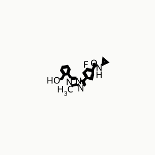 Cc1nc(-c2ccccc2CO)cn2c(-c3ccc(C(=O)NC4CC4)c(F)c3)cnc12